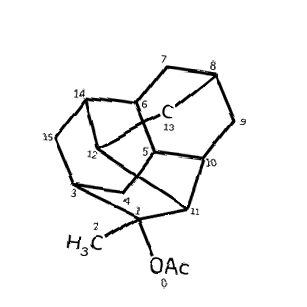 CC(=O)OC1(C)C2CC3C4CC5CC3C1C(C5)C4C2